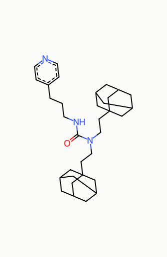 O=C(NCCCc1ccncc1)N(CCC12CC3CC(CC(C3)C1)C2)CCC12CC3CC(CC(C3)C1)C2